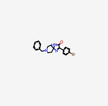 O=C1NC2(CCN(Cc3ccccc3)CC2)N=C1c1ccc(Br)cc1